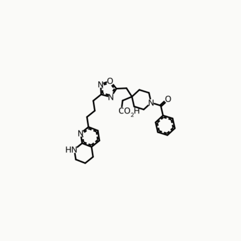 O=C(O)CC1(Cc2nc(CCCc3ccc4c(n3)NCCC4)no2)CCN(C(=O)c2ccccc2)CC1